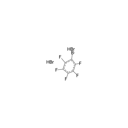 Br.Br.[B]c1c(F)c(F)c(F)c(F)c1F